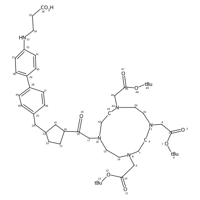 CC(C)(C)OC(=O)CN1CCN(CC(=O)OC(C)(C)C)CCN(CC(=O)C2CCC(Cc3ccc(-c4ccc(NCCC(=O)O)cc4)cc3)C2)CCN(CC(=O)OC(C)(C)C)CC1